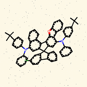 CC(C)(C)c1ccc(N(c2ccccc2)c2cc3c(c4ccccc24)-c2c(cc(N(c4ccccc4)c4ccc(C(C)(C)C)cc4)c4c2oc2ccccc24)C32c3ccccc3-c3ccc(F)cc32)cc1